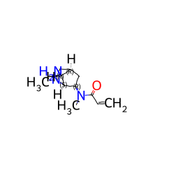 C=CC(=O)N(C)[C@@H]1C[C@@H]2CN(C)[C@H]1[C@@H]2N